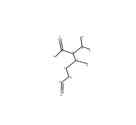 CC(=O)C(C(C)C)C(C)CCC=O